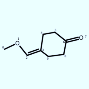 COC=C1CCC(=O)CC1